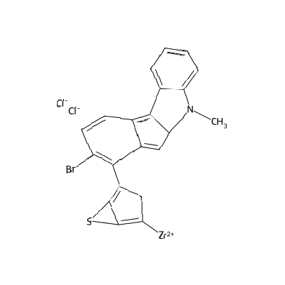 CN1c2ccccc2C2=c3ccc(Br)c(C4=C5SC5=[C]([Zr+2])C4)c3=CC21.[Cl-].[Cl-]